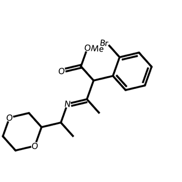 COC(=O)C(C(C)=NC(C)C1COCCO1)c1ccccc1Br